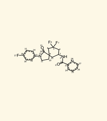 O=C(NC1CC(F)(F)CC2(CCN(c3ccc(F)cc3)C2=O)C1)c1ccccn1